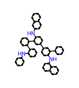 c1ccc(Nc2ccccc2-c2ccccc2-c2cc(-c3ccc(Nc4cccc5ccccc45)c(-c4ccccc4)c3)ccc2Nc2ccc3ccccc3c2)cc1